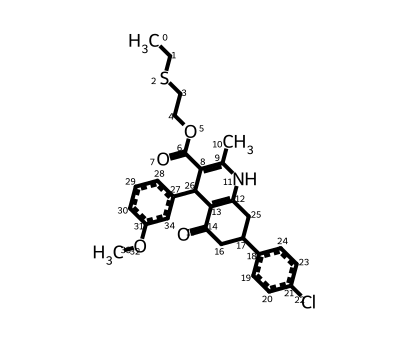 CCSCCOC(=O)C1=C(C)NC2=C(C(=O)CC(c3ccc(Cl)cc3)C2)C1c1cccc(OC)c1